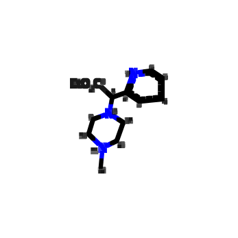 CCOC(=O)C(c1ccccn1)N1CCN(C)CC1